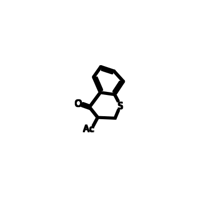 CC(=O)C1CSc2ccccc2C1=O